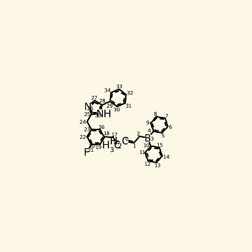 C=CCB(c1ccccc1)c1ccccc1.CCc1cc(F)cc(Cc2ncc(-c3ccccc3)[nH]2)c1